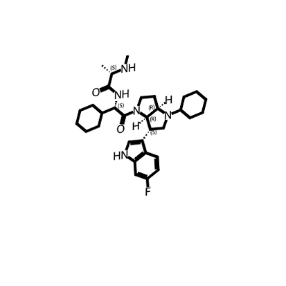 CN[C@@H](C)C(=O)N[C@H](C(=O)N1CC[C@@H]2[C@H]1[C@@H](c1c[nH]c3cc(F)ccc13)CN2C1CCCCC1)C1CCCCC1